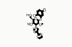 CO[C@@H]1[C@@H](n2cc(-c3nccs3)nn2)[C@@H](O)[C@@H](CO)O[C@@H]1Sc1cc(Cl)ccc1Cl